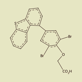 O=C(O)COc1c(Br)cc(-c2cccc3sc4ccccc4c23)cc1Br